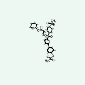 CS(=O)(=O)Oc1ccc(-c2ccc(S(=O)(=O)N3CCN(S(C)(=O)=O)C[C@@H]3C(=O)NOC3CCCCO3)s2)cc1